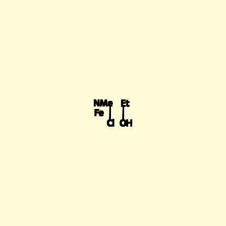 CCO.CNCl.[Fe]